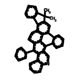 CC1(C)c2ccccc2-c2ccc(-c3ccccc3-c3c4ccccc4c(-c4ccccc4)c4c3cnc3ccccc34)cc21